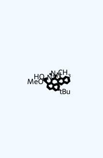 COC1(O)C2c3ccc4cc(C(C)(C)C)ccc4c3-c3c4c5ccc6ccccc6c5n(C)c4nc[n+]3C21